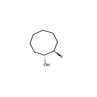 O[C@@H]1CCCCCC[C@H]1F